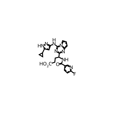 O=C(O)CCC(NC(=O)c1ccc(F)nc1)c1nc(Nc2cc(C3CC3)[nH]n2)n2cccc2n1